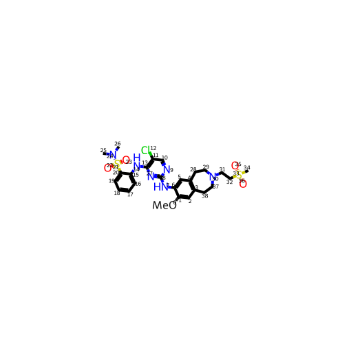 COc1cc2c(cc1Nc1ncc(Cl)c(Nc3ccccc3S(=O)(=O)N(C)C)n1)CCN(CCS(C)(=O)=O)CC2